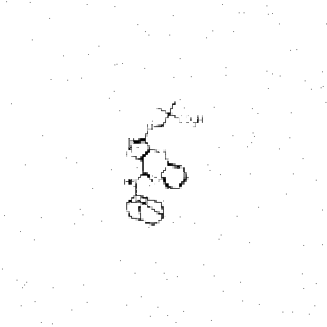 CC(C)(COc1noc(C(=O)NC2C3CC4CC(C3)CC2C4)c1Sc1ccccc1)C(=O)O